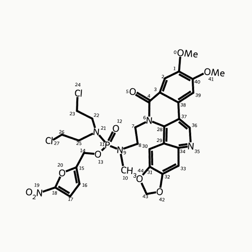 COc1cc2c(=O)n(CCN(C)P(=O)(OCc3ccc([N+](=O)[O-])o3)N(CCCl)CCCl)c3c4cc5c(cc4ncc3c2cc1OC)OCO5